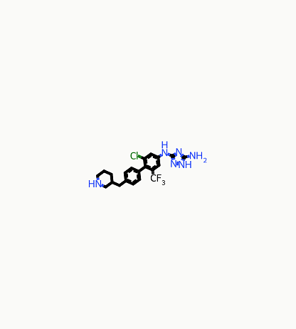 Nc1nc(Nc2cc(Cl)c(-c3ccc(CC4CCCNC4)cc3)c(C(F)(F)F)c2)n[nH]1